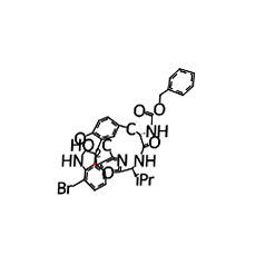 CC(C)[C@@H]1NC(=O)[C@@H](NC(=O)OCc2ccccc2)Cc2ccc3c(c2)C2(c4cccc(Br)c4NC2O3)c2oc1nc2C(=O)O